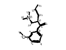 C=C(c1cccc(OC)c1)C(CCC)CN(C)C